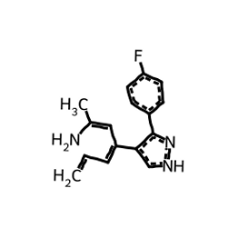 C=C/C=C(\C=C(\C)N)c1c[nH]nc1-c1ccc(F)cc1